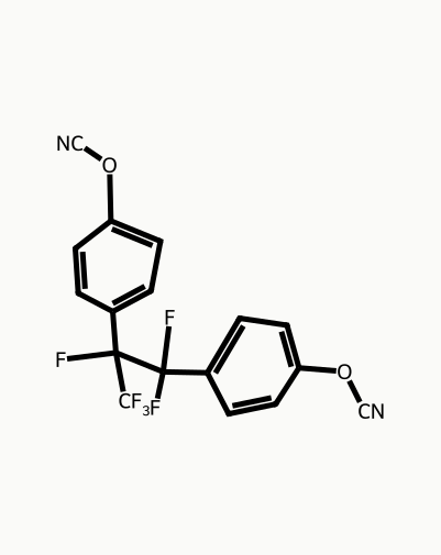 N#COc1ccc(C(F)(F)C(F)(c2ccc(OC#N)cc2)C(F)(F)F)cc1